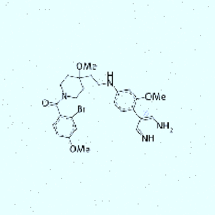 COc1ccc(C(=O)N2CCC(CCNc3ccc(/C(C=N)=C/N)c(OC)c3)(OC)CC2)c(Br)c1